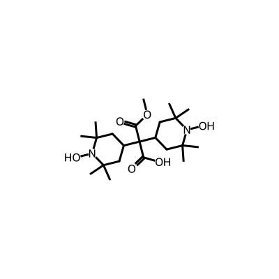 COC(=O)C(C(=O)O)(C1CC(C)(C)N(O)C(C)(C)C1)C1CC(C)(C)N(O)C(C)(C)C1